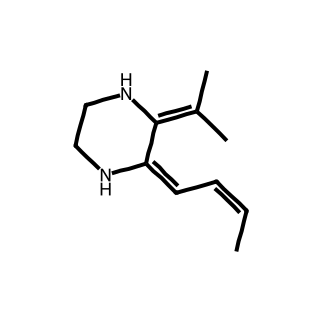 C/C=C\C=C1\NCCNC1=C(C)C